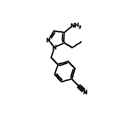 CCc1c(N)cnn1Cc1ccc(C#N)cc1